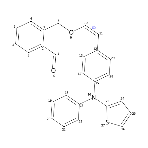 O=Cc1ccccc1CO/C=C\c1ccc(N(c2ccccc2)c2cccs2)cc1